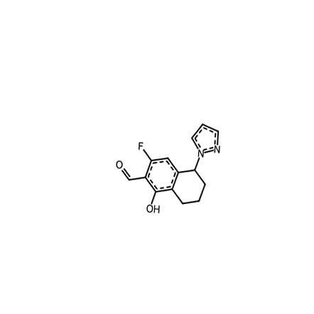 O=Cc1c(F)cc2c(c1O)CCCC2n1cccn1